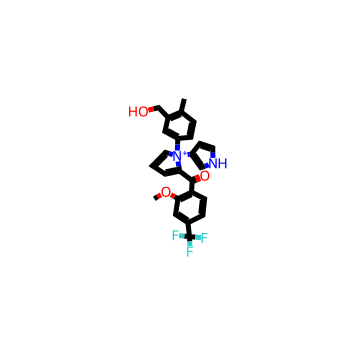 COc1cc(C(F)(F)F)ccc1C(=O)C1=CC=C[N+]1(c1cc[nH]c1)c1ccc(C)c(CO)c1